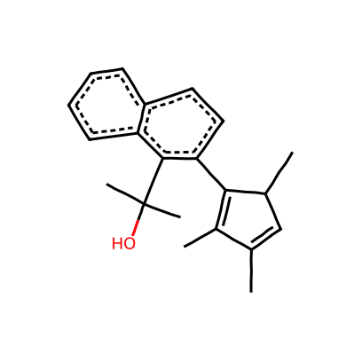 CC1=CC(C)C(c2ccc3ccccc3c2C(C)(C)O)=C1C